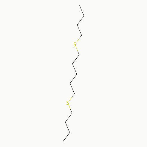 CCCCSCCCCCSCCCC